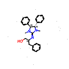 CN1C(=N[C@H](CO)Cc2ccccc2)N(C)[C@@H](c2ccccc2)[C@@H]1c1ccccc1